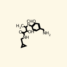 CC(C(O)C(=O)NCC1CC1)N(C=O)c1ccc(CN)cc1